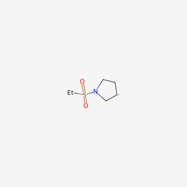 CCS(=O)(=O)N1C[CH]CC1